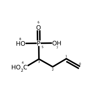 C=CCC(C(=O)O)P(=O)(O)O